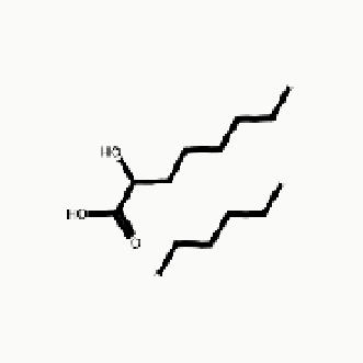 [CH2]CCCCCC(O)C(=O)O.[CH2]CCCC[CH2]